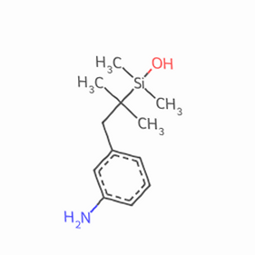 CC(C)(Cc1cccc(N)c1)[Si](C)(C)O